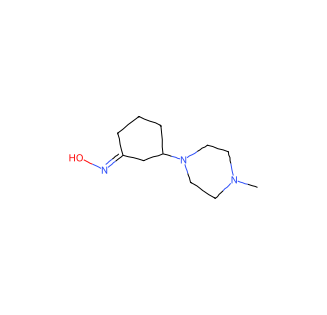 CN1CCN(C2CCCC(=NO)C2)CC1